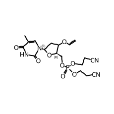 C=COC1C[C@H](n2cc(C)c(=O)[nH]c2=O)O[C@@H]1COP(=O)(OCCC#N)OCCC#N